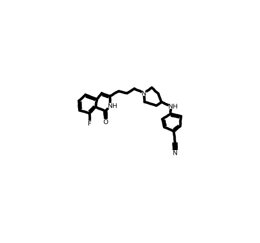 N#Cc1ccc(NC2CCN(CCCc3cc4cccc(F)c4c(=O)[nH]3)CC2)cc1